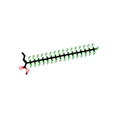 CCC=C(C(=O)OC)C(F)(F)C(F)(F)C(F)(F)C(F)(F)C(F)(F)C(F)(F)C(F)(F)C(F)(F)C(F)(F)C(F)(F)C(F)(F)C(F)(F)C(F)(F)C(F)(F)C(F)(F)C(F)(F)F